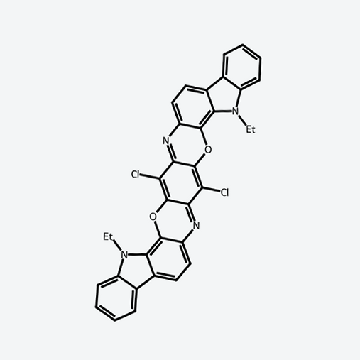 CCn1c2ccccc2c2ccc3c(c21)Oc1c(Cl)c2c(c(Cl)c1=N3)Oc1c(ccc3c4ccccc4n(CC)c13)N=2